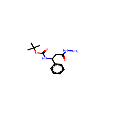 CC(C)(C)OC(=O)NC(CC(=O)NN)c1ccccc1